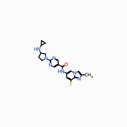 Cc1cn2cc(NC(=O)c3cnc(N4CCC(NC5CC5)C4)nc3)cc(F)c2n1